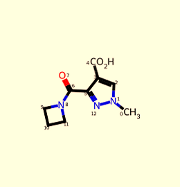 Cn1cc(C(=O)O)c(C(=O)N2CCC2)n1